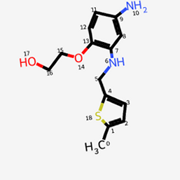 Cc1ccc(CNc2cc(N)ccc2OCCO)s1